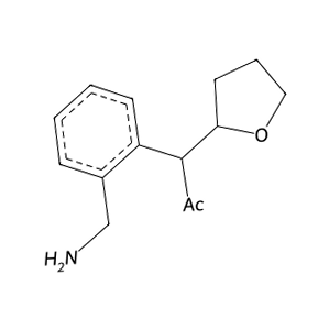 CC(=O)C(c1ccccc1CN)C1CCCO1